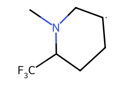 CN1C[CH]CCC1C(F)(F)F